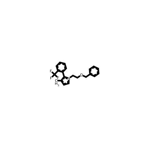 Cc1ccn(CCOCc2ccccc2)c1-c1ccccc1C(F)(F)F